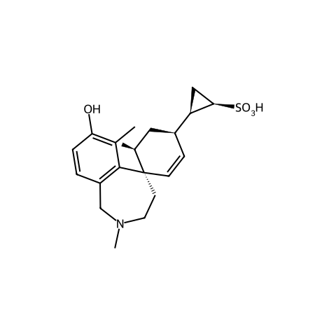 Cc1c(O)ccc2c1[C@@]1(C=C[C@H]([C@H]3C[C@H]3S(=O)(=O)O)C[C@@H]1C)CCN(C)C2